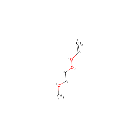 C=COOCCOC